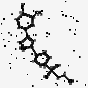 Cc1cc(-c2cc(-c3ccc(S(=O)(=O)CCO)cc3)[nH]n2)ccc1F